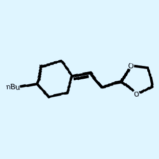 CCCCC1CCC(=CCC2OCCO2)CC1